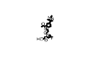 CC(=O)c1nn(CC(=O)N2C[C@H](F)C[C@H]2CC(=O)O)c2ccc(-c3cnc(C)nc3)cc12